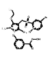 CC(C)c1cc[n+]([O-])c(S(=O)(=O)Cc2c(C(F)(F)F)nn(C)c2OCC(F)(F)F)c1.O=C(OO)c1cccc(Cl)c1